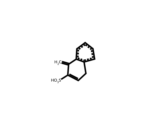 C=C1C(S(=O)(=O)O)=CCc2ccccc21